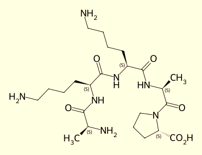 C[C@H](N)C(=O)N[C@@H](CCCCN)C(=O)N[C@@H](CCCCN)C(=O)N[C@@H](C)C(=O)N1CCC[C@H]1C(=O)O